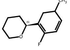 CC1C=CC(F)=C([C@@H]2CCCCO2)C1